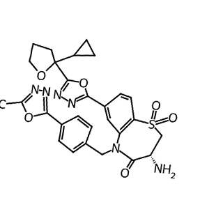 N[C@H]1CS(=O)(=O)c2ccc(-c3nnc(C4(C5CC5)CCCO4)o3)cc2N(Cc2ccc(-c3nnc(C(F)(F)F)o3)cc2)C1=O